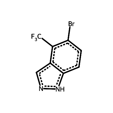 FC(F)(F)c1c(Br)ccc2[nH]ncc12